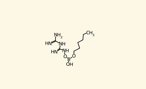 CCCCCCOB(O)ONC(=N)NC(=N)N